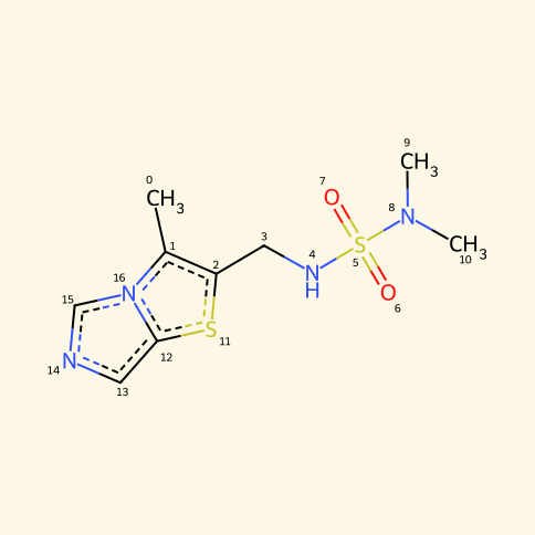 Cc1c(CNS(=O)(=O)N(C)C)sc2cncn12